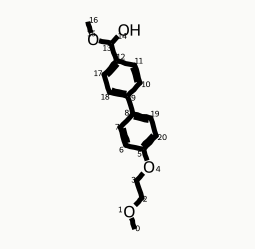 COCCOc1ccc(-c2ccc(C(O)OC)cc2)cc1